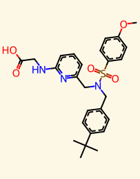 COc1ccc(S(=O)(=O)N(Cc2ccc(C(C)(C)C)cc2)Cc2cccc(NCC(=O)O)n2)cc1